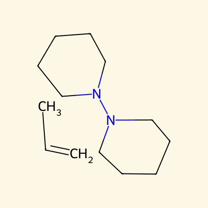 C1CCN(N2CCCCC2)CC1.C=CC